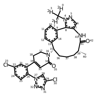 [2H]C([2H])([2H])n1ncc2c1-c1cccc(c1)[C@@H](N1CCC(c3cc(Cl)ccc3-n3cc(Cl)nn3)=CC1=O)CCC[C@@H](C)C(=O)N2